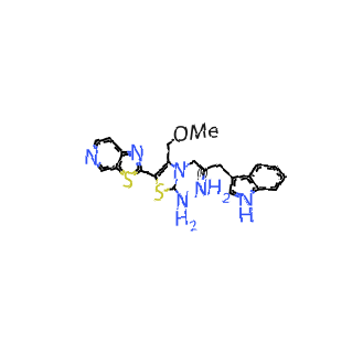 COCC1=C(c2nc3ccncc3s2)SC(N)N1C[C@H](N)Cc1c[nH]c2ccccc12